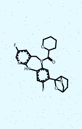 O=C(C1CCCCO1)N1Cc2cc(F)cnc2Nc2cc(F)c(N3CC4CCC3CO4)cc21